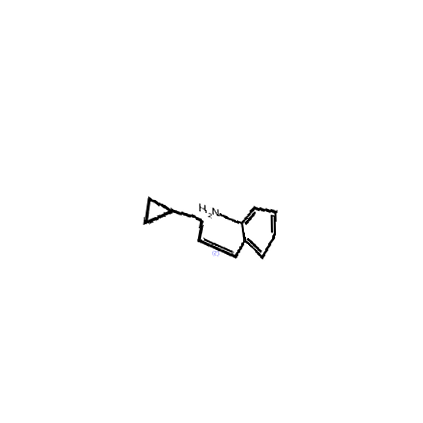 Nc1ccccc1/C=C\CC1CC1